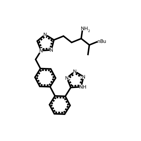 CCCCC(C)C(N)CCc1ncn(Cc2ccc(-c3ccccc3-c3nnn[nH]3)cc2)n1